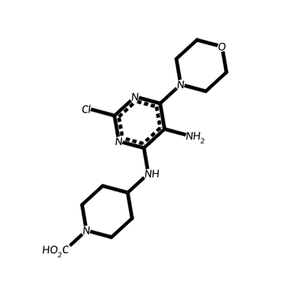 Nc1c(NC2CCN(C(=O)O)CC2)nc(Cl)nc1N1CCOCC1